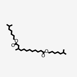 CC(C)CCCCCOC(=O)CCCCCCCCC(C)CC(=O)OCCCCCC(C)C